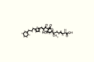 C/C(=C\c1ccc(CCCC2CCCCC2)s1)C(=O)c1c(O)cc(C(C)CC/C=C/NC(=O)O)oc1=O